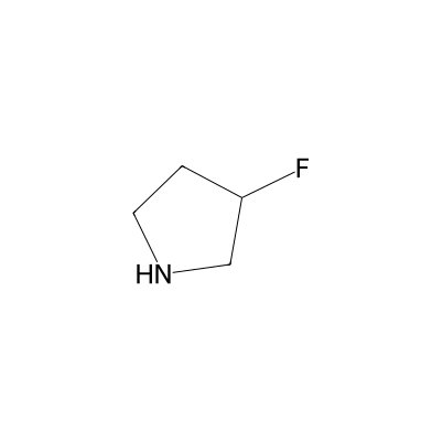 FC1CCNC1